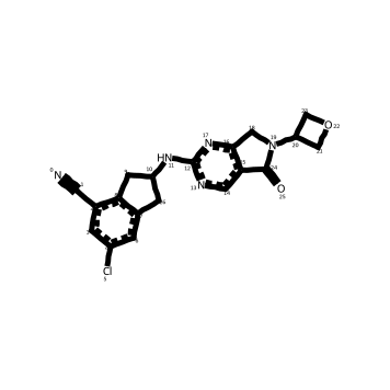 N#Cc1cc(Cl)cc2c1CC(Nc1ncc3c(n1)CN(C1COC1)C3=O)C2